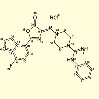 Cl.N=C(Nc1ccccn1)N1CCN(C=C2N=C(c3ccc(F)c4occc34)OC2=O)CC1